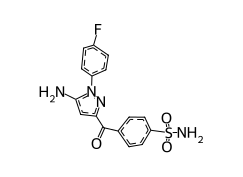 Nc1cc(C(=O)c2ccc(S(N)(=O)=O)cc2)nn1-c1ccc(F)cc1